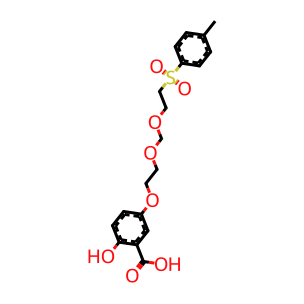 Cc1ccc(S(=O)(=O)CCOCOCCOc2ccc(O)c(C(=O)O)c2)cc1